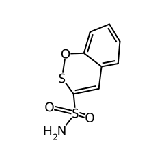 NS(=O)(=O)C1=Cc2ccccc2OS1